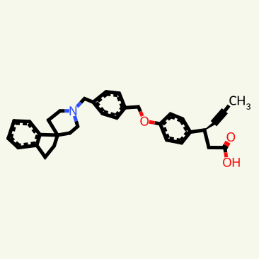 CC#C[C@@H](CC(=O)O)c1ccc(OCc2ccc(CN3CCC4(CCc5ccccc54)CC3)cc2)cc1